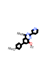 CCOc1cc(-c2ccc(OC)cc2)cc2c(NC)nc(-c3cccnc3)nc12